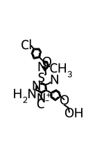 [C-]#[N+]c1c(N)nc(SCc2nc(-c3ccc(Cl)cc3)oc2C)c(C#N)c1-c1ccc(OCCO)cc1